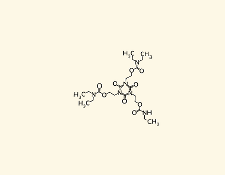 CCNC(=O)OCCn1c(=O)n(CCOC(=O)N(CC)CC)c(=O)n(CCOC(=O)N(CC)CC)c1=O